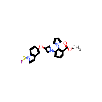 COC(=O)c1cccc(N2CC(Oc3ccc4c(ccn4SI)c3)C2)c1-n1cccc1